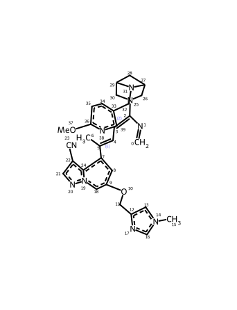 C=N/C(=C\C=C(/C)c1cc(OCc2cn(C)cn2)cn2ncc(C#N)c12)N1CC2CC(C1)N2Cc1ccc(OC)nc1